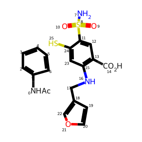 CC(=O)Nc1ccccc1.NS(=O)(=O)c1cc(C(=O)O)c(NCc2ccoc2)cc1S